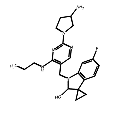 CCCNc1nc(N2CCC(N)C2)ncc1CN1c2cc(F)ccc2C2(CC2)C1O